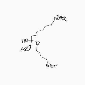 CCCCCCCCCCCCCCCCC(O)(O)OCCCCCCCCCCCCCC